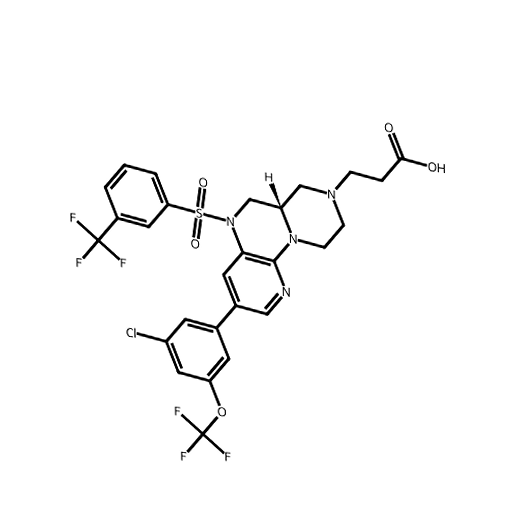 O=C(O)CCN1CCN2c3ncc(-c4cc(Cl)cc(OC(F)(F)F)c4)cc3N(S(=O)(=O)c3cccc(C(F)(F)F)c3)C[C@@H]2C1